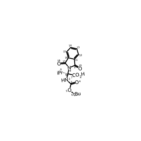 CC(C)[C@@](NC(=O)OC(C)(C)C)(C(=O)O)N1C(=O)c2ccccc2C1=O